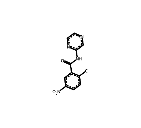 O=C(Nc1cnccn1)c1cc([N+](=O)[O-])ccc1Cl